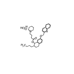 CCCCC1CCc2ccc(OCc3ccc4ccccc4n3)cc2C1OC(=O)CCCN1CCCCC1.Cl.Cl